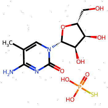 Cc1cn([C@@H]2O[C@H](CO)[C@@H](O)[C@H]2O)c(=O)nc1N.O=P(O)(O)S